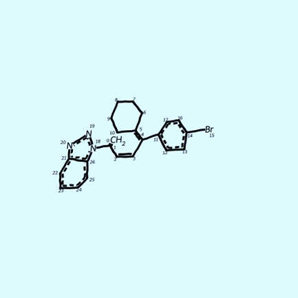 C=C(/C=C\C(=C1CCCCC1)c1ccc(Br)cc1)n1nnc2ccccc21